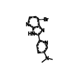 CN(C)c1ccc(-c2nc3c(Br)ccnc3[nH]2)nc1